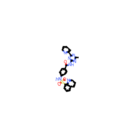 Cc1nc(NC(=O)c2ccc(NS(=O)(=O)c3cccc4cccnc34)cc2)nc(-c2ccccn2)n1